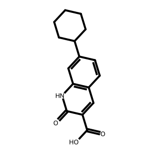 O=C(O)c1cc2ccc(C3CCCCC3)cc2[nH]c1=O